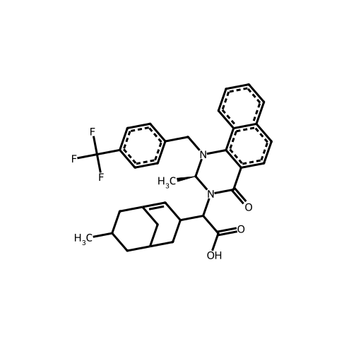 CC1CC2=CC(C(C(=O)O)N3C(=O)c4ccc5ccccc5c4N(Cc4ccc(C(F)(F)F)cc4)[C@@H]3C)CC(C2)C1